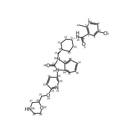 Cc1ncc(Cl)cc1C(=O)N[C@H]1CC[C@H](Cn2c(=O)n(-c3ccc(OCC4CNCCO4)nc3)c3ccccc32)CC1